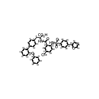 O=C(N[C@@H](Cc1ccc(-c2ccccc2Oc2ccccc2)cc1)C(=O)O)c1cc(Cl)ccc1NS(=O)(=O)c1ccc(-c2cnco2)cc1